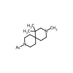 CC(=O)N1CCC2(CCN(C)CC2(C)C)CC1